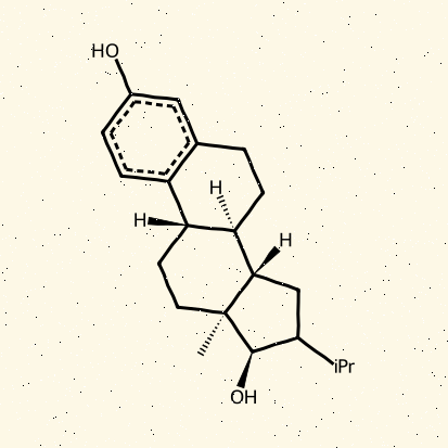 CC(C)C1C[C@H]2[C@@H]3CCc4cc(O)ccc4[C@H]3CC[C@]2(C)[C@@H]1O